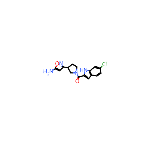 Nc1cc(C2CCN(C(=O)c3cc4ccc(Cl)cc4[nH]3)C2)no1